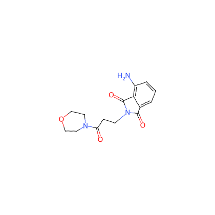 Nc1cccc2c1C(=O)N(CCC(=O)N1CCOCC1)C2=O